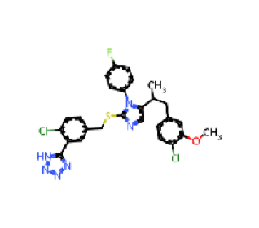 COc1cc(CC(C)c2cnc(SCc3ccc(Cl)c(-c4nnn[nH]4)c3)n2-c2ccc(F)cc2)ccc1Cl